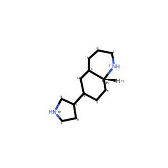 C1CN[C@@H]2CCC(C3CCNC3)CC2C1